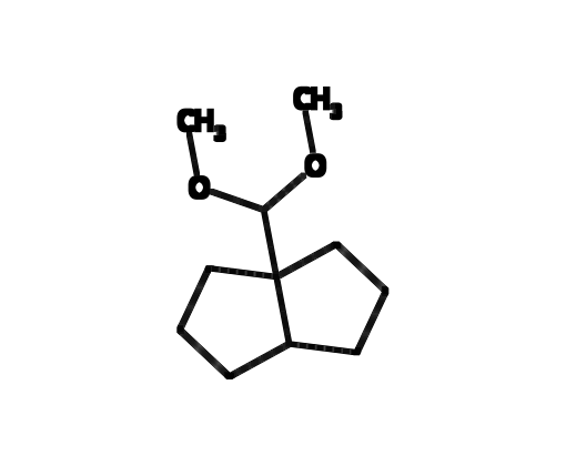 COC(OC)C12CCCC1CCC2